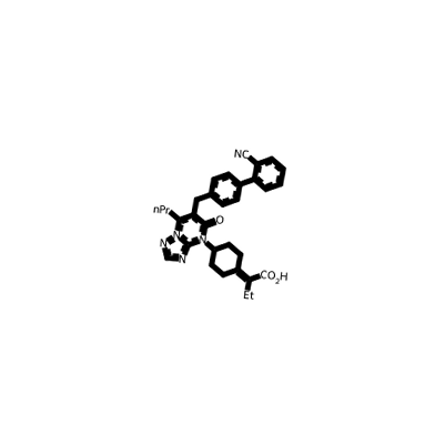 CCCc1c(Cc2ccc(-c3ccccc3C#N)cc2)c(=O)n(C2CCC(=C(CC)C(=O)O)CC2)c2ncnn12